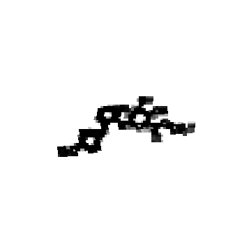 CCC(OC(=O)O)[C@@H]1O[C@@H](Oc2ccccc2Cc2ccc(OC)cc2)[C@H](O)[C@@H](O)[C@@H]1O